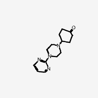 O=C1CCC(N2CCN(c3ncccn3)CC2)CC1